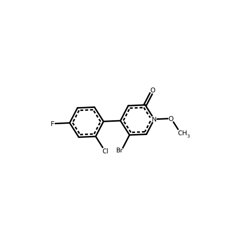 COn1cc(Br)c(-c2ccc(F)cc2Cl)cc1=O